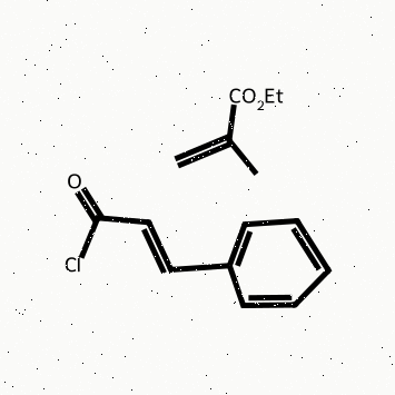 C=C(C)C(=O)OCC.O=C(Cl)C=Cc1ccccc1